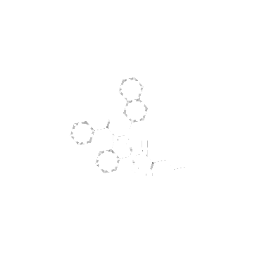 CCCC(=O)NS(=O)(=O)c1ccccc1N(Oc1ccc2ccccc2c1)C(=O)c1ccccc1